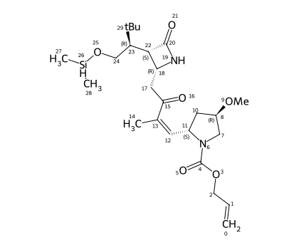 C=CCOC(=O)N1C[C@H](OC)C[C@H]1C=C(C)C(=O)C[C@H]1NC(=O)[C@H]1[C@@H](CO[SiH](C)C)C(C)(C)C